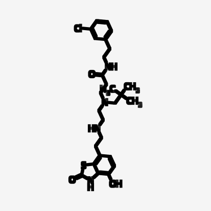 CC(C)(C)CN(CCNCCc1ccc(O)c2[nH]c(=O)sc12)CCC(=O)NCCc1cccc(Cl)c1